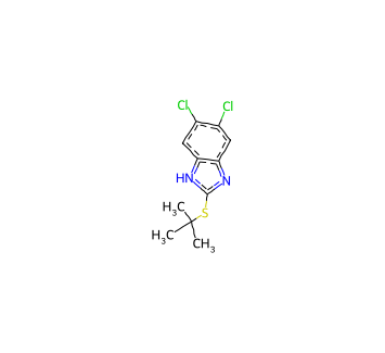 CC(C)(C)Sc1nc2cc(Cl)c(Cl)cc2[nH]1